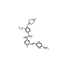 Cc1ccc(NC(=O)c2ccc(CN3CCN(C)CC3)c(C(F)(F)F)c2)cc1/C=C/c1cnc(N)cn1